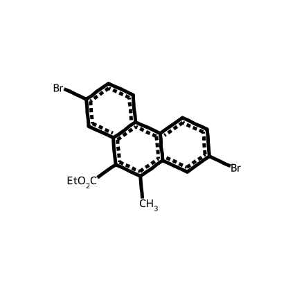 CCOC(=O)c1c(C)c2cc(Br)ccc2c2ccc(Br)cc12